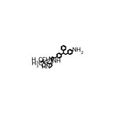 CC(C)(C)C(=O)OC1NCC[C@H]1c1ncc(-c2ccc(C(Cc3ccc(N)cc3)c3ccccc3)cc2)[nH]1